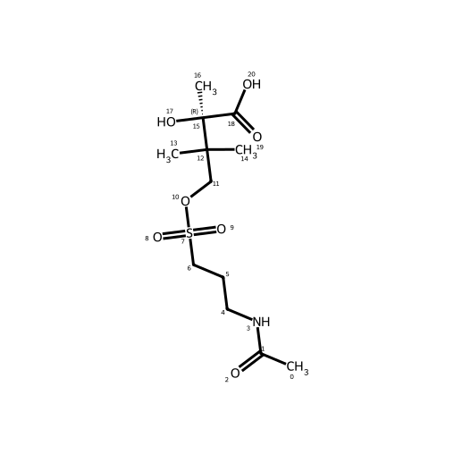 CC(=O)NCCCS(=O)(=O)OCC(C)(C)[C@@](C)(O)C(=O)O